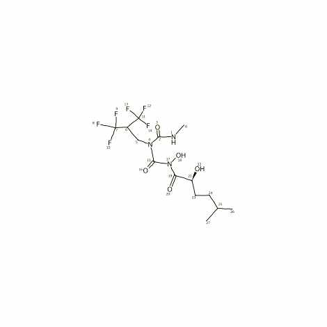 CNC(=O)N(CC(C(F)(F)F)C(F)(F)F)C(=O)N(O)C(=O)[C@@H](O)CCC(C)C